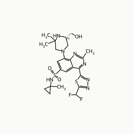 Cc1nc(-c2nnc(C(F)F)s2)c2cc(S(=O)(=O)NC3(C)CC3)cc(N3C[C@@H](CO)NC(C)(C)C3)c2n1